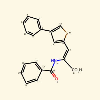 O=C(O)C(=Cc1cc(-c2ccccc2)cs1)NC(=O)c1ccccc1